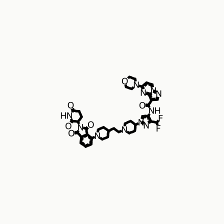 O=C1CCC(N2C(=O)c3cccc(N4CCC(CCN5CCC(n6cc(NC(=O)c7cnn8ccc(N9CCOCC9)nc78)c(C(F)F)n6)CC5)CC4)c3C2=O)C(=O)N1